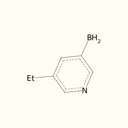 Bc1cncc(CC)c1